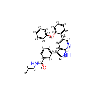 CCCNC(=O)c1cccc(-c2c[nH]c3ncc(-c4ccccc4Oc4ccccc4)cc23)c1